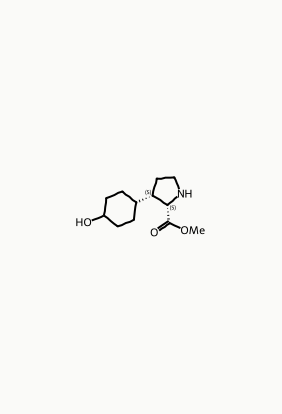 COC(=O)[C@H]1NCC[C@H]1C1CCC(O)CC1